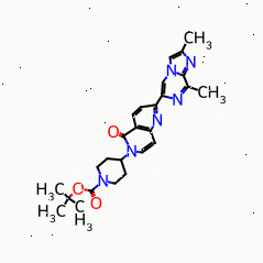 Cc1cn2cc(-c3ccc4c(=O)n(C5CCN(C(=O)OC(C)(C)C)CC5)ccc4n3)nc(C)c2n1